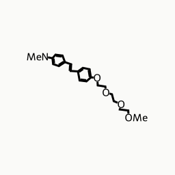 CNc1ccc(/C=C/c2ccc(OCCOCCOCCOC)cc2)cc1